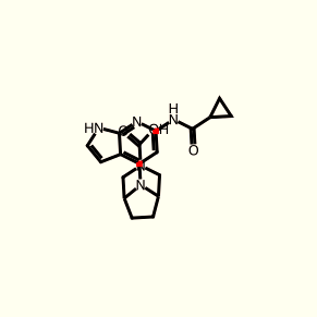 O=C(Nc1cc(N2C3CCC2CN(C(=O)O)C3)c2cc[nH]c2n1)C1CC1